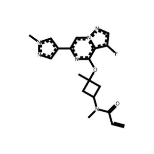 C=CC(=O)N(C)C1CC(C)(Oc2nc(-c3cnn(C)c3)cn3ncc(F)c23)C1